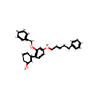 OC1CCCC(c2ccc(OCCCCCc3ccccc3)cc2OCc2ccccc2)C1